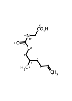 C=CCCC(C)COC(=O)NCC(=O)O